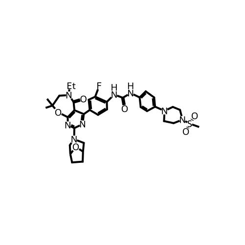 CCN1CC(C)(C)Oc2nc(N3CC4CCC(C3)O4)nc(-c3ccc(NC(=O)Nc4ccc(N5CCN(S(C)(=O)=O)CC5)cc4)c(F)c3)c2C1=O